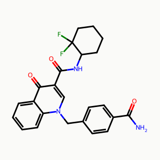 NC(=O)c1ccc(Cn2cc(C(=O)NC3CCCCC3(F)F)c(=O)c3ccccc32)cc1